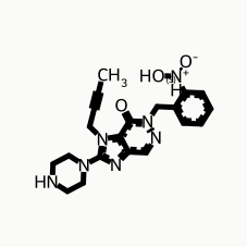 CC#CCn1c(N2CCNCC2)nc2cnn(Cc3ccccc3[N@@H+]([O-])O)c(=O)c21